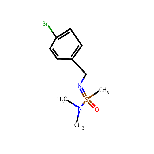 CN(C)S(C)(=O)=NCc1ccc(Br)cc1